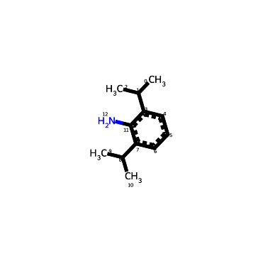 CC(C)c1c[c]cc(C(C)C)c1N